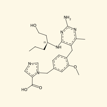 CCC[C@@H](CCO)Nc1nc(N)nc(C)c1Cc1ccc(Cn2cncc2C(=O)O)cc1OC